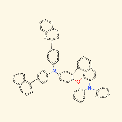 c1ccc(N(c2ccccc2)c2ccc3cccc4c3c2Oc2ccc(N(c3ccc(-c5ccc6ccccc6c5)cc3)c3ccc(-c5cccc6ccccc56)cc3)cc2-4)cc1